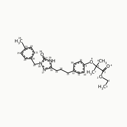 CCOC(=O)C(C)(C)Oc1ccc(CCCc2nn(Cc3ccc(C)cc3)c(=O)[nH]2)cc1